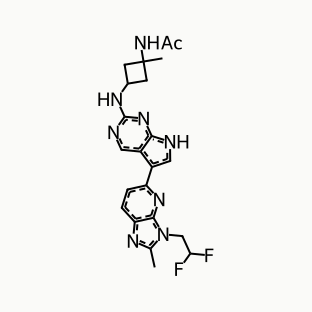 CC(=O)NC1(C)CC(Nc2ncc3c(-c4ccc5nc(C)n(CC(F)F)c5n4)c[nH]c3n2)C1